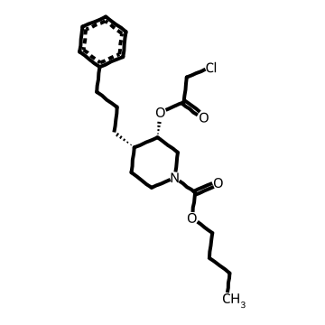 CCCCOC(=O)N1CC[C@H](CCCc2ccccc2)[C@H](OC(=O)CCl)C1